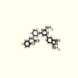 Nc1nc(-c2ccc3c(N)n[nH]c3c2)cc(N2CCC[C@@H](N(Cc3ccccc3)C(=O)O)C2)n1